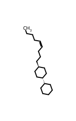 CCCC/C=C\CCC[C@H]1CC[C@H](C2CCCCC2)CC1